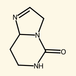 O=C1NCCC2N=CCN12